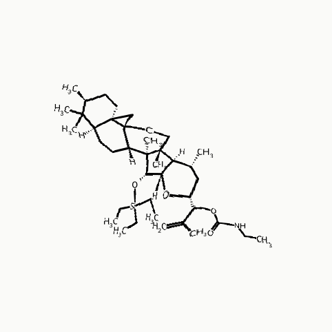 C=C(C)C(OC(=O)NCC)[C@H]1C[C@@H](C)[C@H]2[C@H](O1)[C@H](O[Si](CC)(CC)CC)[C@@]1(C)[C@@H]3CC[C@H]4C(C)(C)[C@@H](C)CC[C@@]45C[C@@]35CC[C@]21C